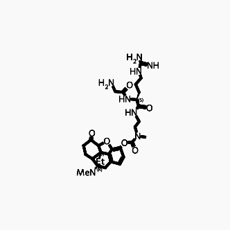 CC[C@]12c3c4ccc(OC(=O)N(C)CCNC(=O)[C@H](CCCNC(=N)N)NC(=O)CN)c3OC1C(=O)CCC2[C@H](NC)C4